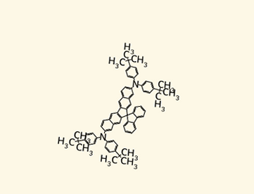 CC(C)(C)c1ccc(N(c2ccc(C(C)(C)C)cc2)c2ccc3cc4c(cc3c2)C2(c3ccccc3-c3ccccc32)c2cc3cc(N(c5ccc(C(C)(C)C)cc5)c5ccc(C(C)(C)C)cc5)ccc3cc2-4)cc1